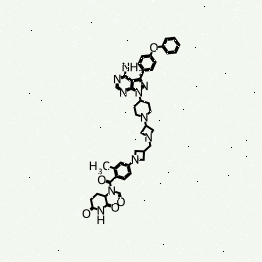 Cc1cc(N2CC(CN3CC(N4CCC(n5nc(-c6ccc(Oc7ccccc7)cc6)c6c(N)ncnc65)CC4)C3)C2)ccc1C(=O)N(C=O)C1CCC(=O)NC1=O